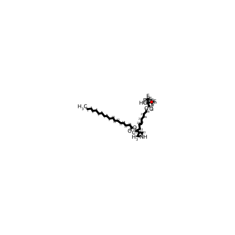 CCCCCCCCCCCCCCCCCC(=O)OC(C)(C/C=C/CCCCOC(=O)C(O)(C(F)(F)F)C(F)(F)F)C1CNC1